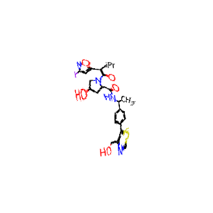 CC(NC(=O)C1CC(O)CN1C(=O)C(c1cc(I)no1)C(C)C)c1ccc(-c2scnc2CO)cc1